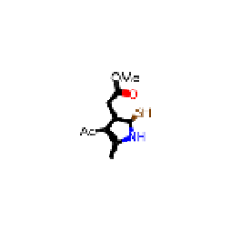 COC(=O)CC1C(C(C)=O)=C(C)NC1S